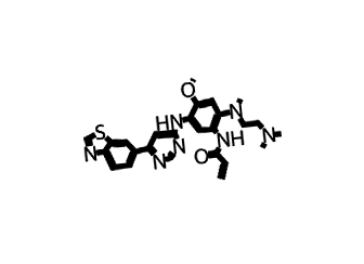 C=CC(=O)Nc1cc(Nc2cc(-c3ccc4ncsc4c3)ncn2)c(OC)cc1N(C)CCN(C)C